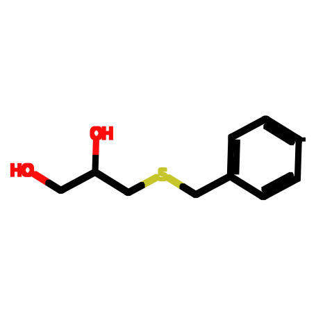 OCC(O)CSCc1cc[c]cc1